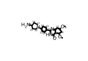 COc1cc(OC)c2c(=O)[nH]c(-c3ccc(N4CCC(N)CC4)cc3)nc2c1